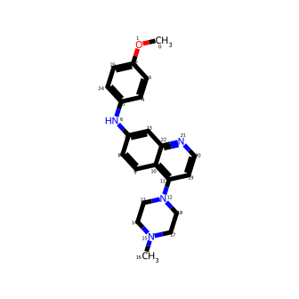 COc1ccc(Nc2ccc3c(N4CCN(C)CC4)ccnc3c2)cc1